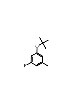 Cc1cc(F)cc(OC(C)(C)C)c1